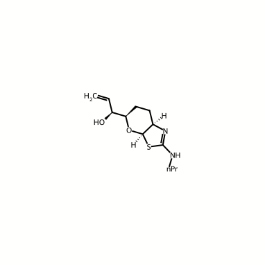 C=C[C@H](O)[C@H]1CC[C@H]2N=C(NCCC)S[C@H]2O1